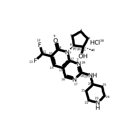 C[C@@]1(O)CCC[C@H]1n1c(=O)c(C(F)F)cc2cnc(NC3CCNCC3)nc21.Cl